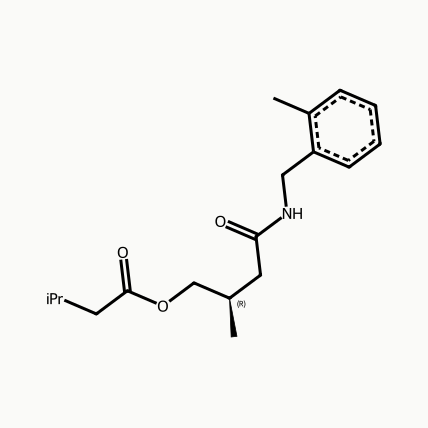 Cc1ccccc1CNC(=O)C[C@@H](C)COC(=O)CC(C)C